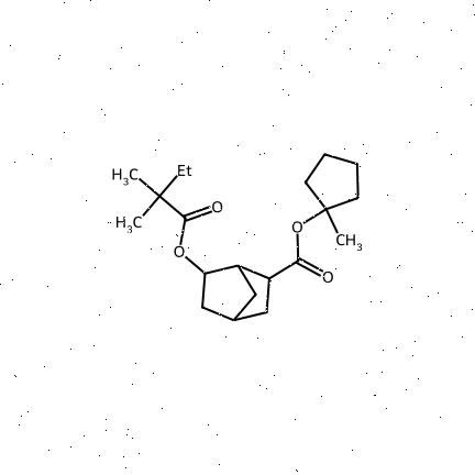 CCC(C)(C)C(=O)OC1CC2CC(C(=O)OC3(C)CCCC3)C1C2